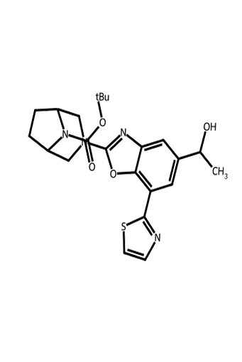 CC(O)c1cc(-c2nccs2)c2oc(N3CC4CCC(C3)N4C(=O)OC(C)(C)C)nc2c1